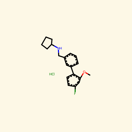 COc1cc(F)ccc1-c1cccc(CNC2CCCC2)c1.Cl